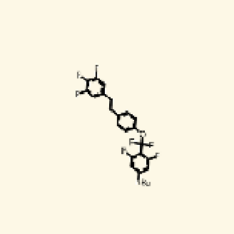 CCCCc1cc(F)c(C(F)(F)Oc2ccc(CCc3cc(F)c(F)c(F)c3)cc2)c(F)c1